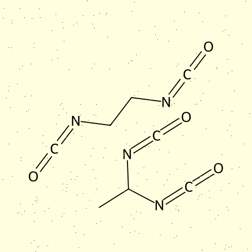 CC(N=C=O)N=C=O.O=C=NCCN=C=O